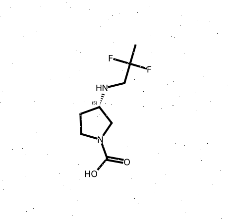 CC(F)(F)CN[C@H]1CCN(C(=O)O)C1